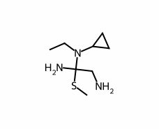 CCN(C1CC1)C(N)(CN)SC